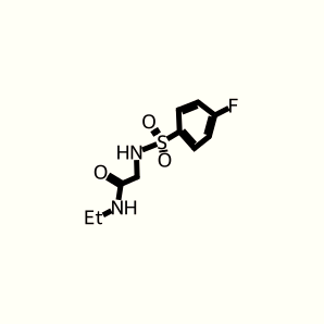 CCNC(=O)CNS(=O)(=O)c1ccc(F)cc1